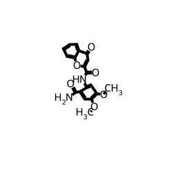 COc1cc(NC(=O)c2cc(=O)c3ccccc3o2)c(C(N)=O)cc1OC